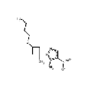 CCCCOC1CC(C)(n2ncc([N+](=O)[O-])c2C)C1